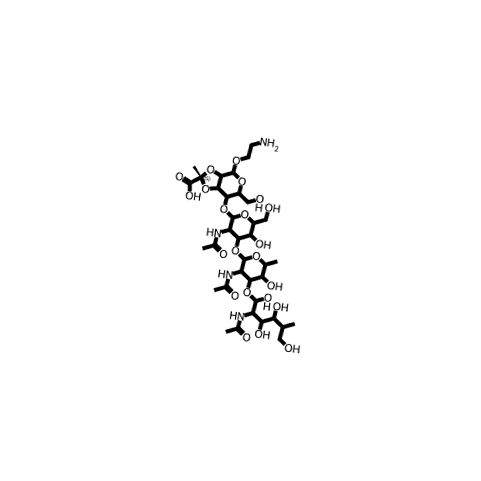 CC(=O)NC(C(O)OC1C(O)C(C)OC(OC2C(O)C(CO)OC(OC3C(CO)OC(OCCN)C4O[C@@](C)(C(=O)O)OC34)C2NC(C)=O)C1NC(C)=O)C(O)C(O)C(C)CO